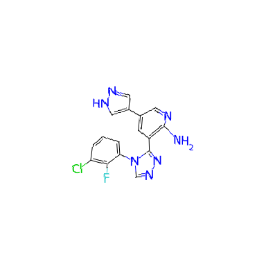 Nc1ncc(-c2cn[nH]c2)cc1-c1nncn1-c1cccc(Cl)c1F